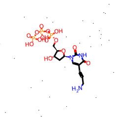 NCC#Cc1cn([C@H]2C[C@@H](O)[C@@H](COP(=O)(O)OP(=O)(O)OP(=O)(O)O)O2)c(=O)[nH]c1=O